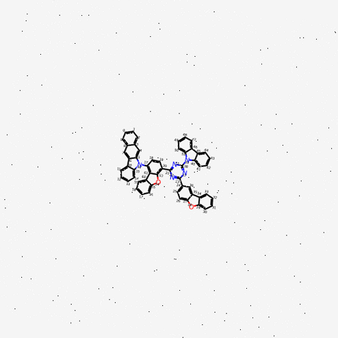 c1ccc2cc3c(cc2c1)c1ccccc1n3-c1ccc(-c2nc(-c3ccc4oc5ccccc5c4c3)nc(-n3c4ccccc4c4ccccc43)n2)c2oc3ccccc3c12